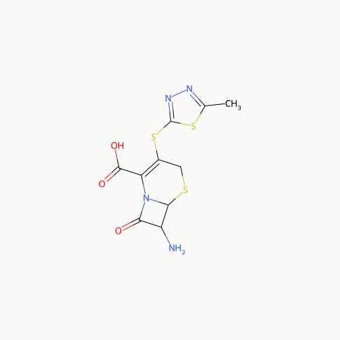 Cc1nnc(SC2=C(C(=O)O)N3C(=O)C(N)C3SC2)s1